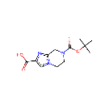 CC(C)(C)OC(=O)N1CCn2cc(C(=O)O)nc2C1